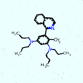 CCCN(CCC)c1cc(-c2nccc3ccccc23)c(C)c(N(CCC)CCC)c1